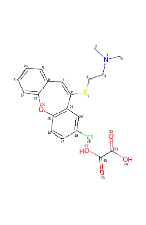 CN(C)CCSC1=Cc2ccccc2Oc2ccc(Cl)cc21.O=C(O)C(=O)O